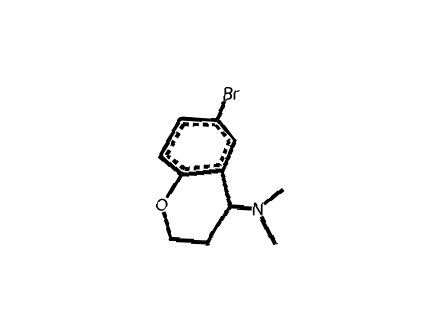 CN(C)C1CCOc2ccc(Br)cc21